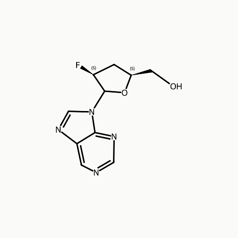 OC[C@@H]1C[C@H](F)C(n2cnc3cncnc32)O1